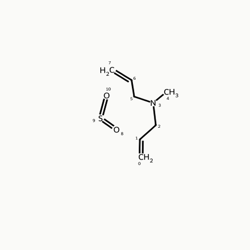 C=CCN(C)CC=C.O=S=O